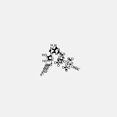 Nc1ncnc2c1ncn2[C@@H]1O[C@H](CO)[C@@H](O)[C@H]1O.O=P([O-])([O-])OP(=O)([O-])OP(=O)([O-])[O-].O=P([O-])([O-])OP(=O)([O-])OP(=O)([O-])[O-].[K+].[K+].[K+].[K+].[K+].[Na+].[Na+].[Na+].[Na+].[Na+]